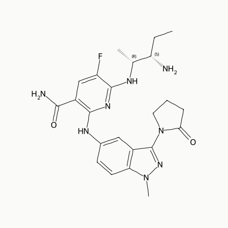 CC[C@H](N)[C@@H](C)Nc1nc(Nc2ccc3c(c2)c(N2CCCC2=O)nn3C)c(C(N)=O)cc1F